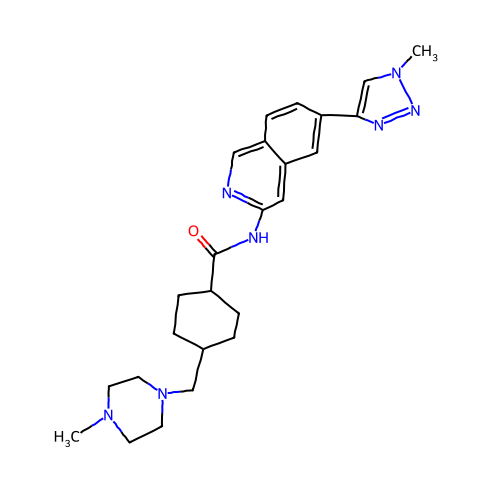 CN1CCN(CC2CCC(C(=O)Nc3cc4cc(-c5cn(C)nn5)ccc4cn3)CC2)CC1